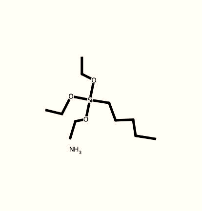 CCCCC[Si](OCC)(OCC)OCC.N